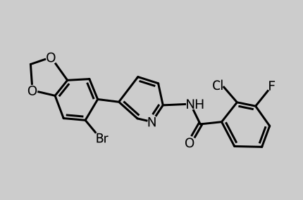 O=C(Nc1ccc(-c2cc3c(cc2Br)OCO3)cn1)c1cccc(F)c1Cl